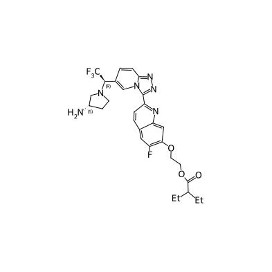 CCC(CC)C(=O)OCCOc1cc2nc(-c3nnc4ccc([C@@H](N5CC[C@H](N)C5)C(F)(F)F)cn34)ccc2cc1F